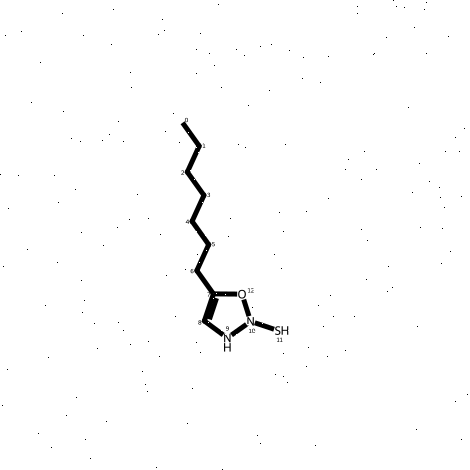 CCCCCCCC1=CNN(S)O1